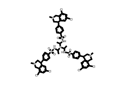 CC(NS(=O)(=O)c1ccc(C2CN(C)Cc3c(Cl)cc(Cl)cc32)cc1)N(C(C)NS(=O)(=O)c1ccc(C2CN(C)Cc3c(Cl)cc(Cl)cc32)cc1)C(C)NS(=O)(=O)c1ccc(C2CN(C)Cc3c(Cl)cc(Cl)cc32)cc1